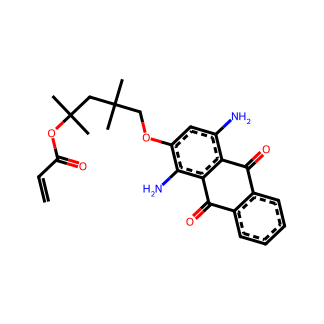 C=CC(=O)OC(C)(C)CC(C)(C)COc1cc(N)c2c(c1N)C(=O)c1ccccc1C2=O